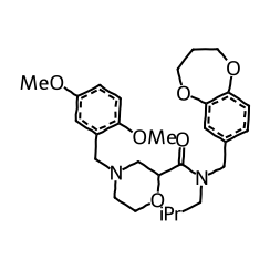 COc1ccc(OC)c(CN2CCOC(C(=O)N(Cc3ccc4c(c3)OCCCO4)CC(C)C)C2)c1